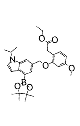 CCOC(=O)Cc1ccc(OC)cc1OCc1cc(B2OC(C)(C)C(C)(C)O2)c2ccn(C(C)C)c2c1